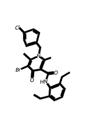 CCc1cccc(CC)c1NC(=O)c1c(C)n(Cc2ccc(Cl)cc2)c(C)c(Br)c1=O